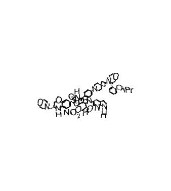 CC(C)Oc1ccccc1[C@@H]1COCCN1C1CC2(CCN(c3ccc(C(=O)NS(=O)(=O)c4cc5c(c([N+](=O)[O-])c4)N[C@@H](CN4CCOCC4)CO5)c(N4c5cc6cc[nH]c6nc5O[C@H]5COCC[C@@H]54)c3)CC2)C1